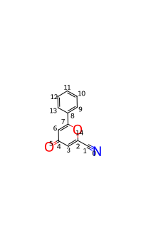 N#Cc1cc(=O)cc(-c2ccccc2)o1